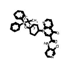 CC(C)(C)[Si](OC1CCC(n2cc(C(=O)Nc3ccncc3Cl)c(=O)c3cccnc32)CC1)(c1ccccc1)c1ccccc1